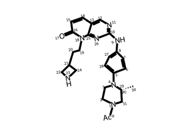 CC(=O)N1CCN(c2ccc(Nc3ncc4ccc(=O)n(CCC5CNC5)c4n3)cc2)[C@H](C)C1